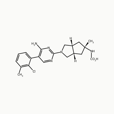 Cc1cccc(-c2cnc(N3C[C@@H]4C[C@](C)(NC(=O)O)C[C@@H]4C3)nc2N)c1Cl